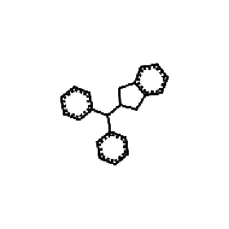 c1ccc([C](c2ccccc2)C2Cc3ccccc3C2)cc1